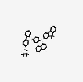 CC1(C)c2ccccc2-c2ccc(N(c3ccc(-n4c5ccccc5c5ccc(B6OC(C)(C)C(C)(C)O6)cc54)cc3)c3cccc4ccccc34)cc21